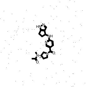 CC(=O)N(C)[C@H]1CCN(C(=O)c2ccc(NC3CCc4[nH]ncc43)nc2)C1